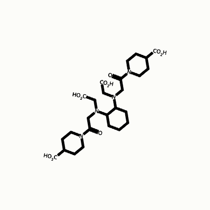 O=C(O)CN(CC(=O)N1CCC(C(=O)O)CC1)C1CCCCC1N(CC(=O)O)CC(=O)N1CCC(C(=O)O)CC1